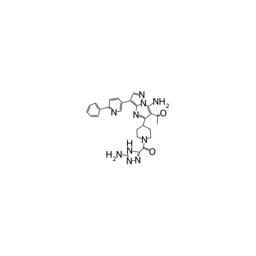 CC(=O)c1c(C2CCN(C(=O)c3nnc(N)[nH]3)CC2)nc2c(-c3ccc(-c4ccccc4)nc3)cnn2c1N